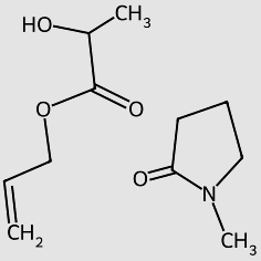 C=CCOC(=O)C(C)O.CN1CCCC1=O